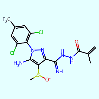 C=C(C)C(=O)NNC(=N)c1nn(-c2c(Cl)cc(C(F)(F)F)cc2Cl)c(N)c1[S+](C)[O-]